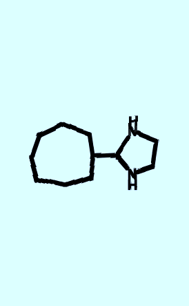 C1CCCC([C]2NCCN2)CCC1